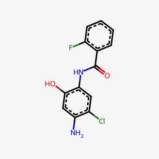 Nc1cc(O)c(NC(=O)c2ccccc2F)cc1Cl